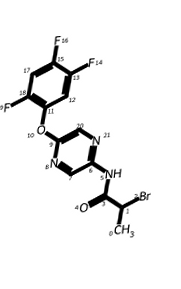 CC(Br)C(=O)Nc1cnc(Oc2cc(F)c(F)cc2F)cn1